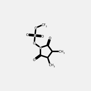 CC1C(=O)N(OS(=O)(=O)OC(F)(F)F)C(=O)C1C